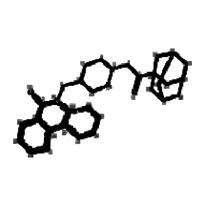 O=C(CN1CCC(Cn2c(=O)c3ccccc3c3ccccc32)CC1)C12CC3CC(CC(C3)C1)C2